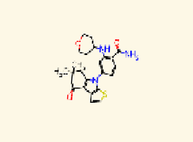 CC1(C)CC(=O)c2c(n(-c3ccc(C(N)=O)c(NC4CCOCC4)c3)c3sccc23)C1